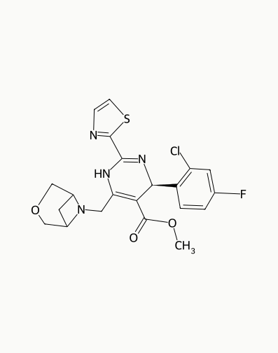 COC(=O)C1=C(CN2C3COCC2C3)NC(c2nccs2)=N[C@H]1c1ccc(F)cc1Cl